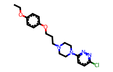 CCOc1ccc(OCCCN2CCN(c3ccc(Cl)nn3)CC2)cc1